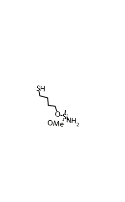 CO[Si](C)(N)OCCCCS